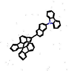 c1ccc2c(c1)-c1ccccc1C21c2ccccc2-c2ccc3cc(-c4ccc5cc(-n6c7ccccc7c7ccccc76)ccc5c4)ccc3c21